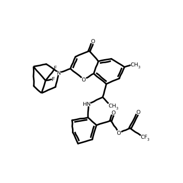 Cc1cc(C(C)Nc2ccccc2C(=O)OC(=O)C(F)(F)F)c2oc(N3CC4CC(C3)C4(F)F)cc(=O)c2c1